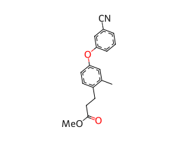 COC(=O)CCc1ccc(Oc2cccc(C#N)c2)cc1C